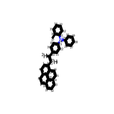 [2H]/C(=C(/[2H])c1ccc2ccc3cccc4ccc1c2c34)c1ccc(N(c2ccccc2)c2ccccc2C)cc1